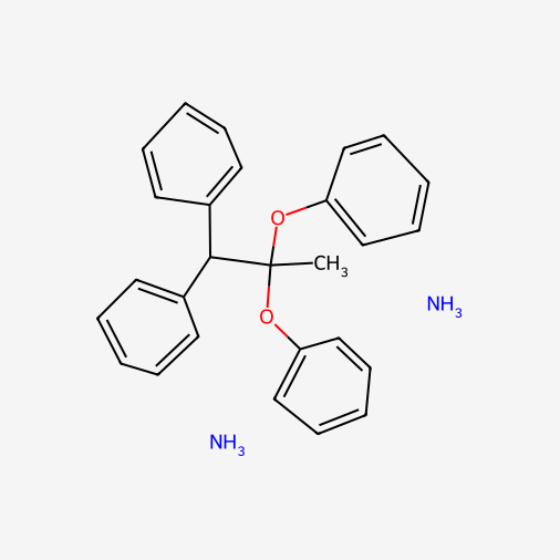 CC(Oc1ccccc1)(Oc1ccccc1)C(c1ccccc1)c1ccccc1.N.N